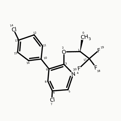 C[C@H](Oc1ncc(Cl)cc1-c1ccc(Cl)cc1)C(F)(F)F